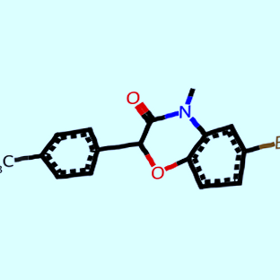 CN1C(=O)C(c2ccc(C(F)(F)F)cc2)Oc2ccc(Br)cc21